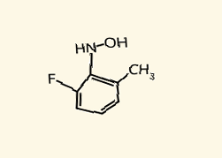 Cc1cccc(F)c1NO